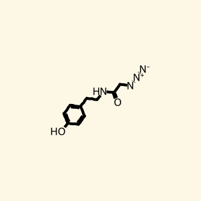 [N-]=[N+]=NCC(=O)NCCc1ccc(O)cc1